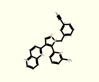 Cc1cccc(-c2c(-c3ccc4ncccc4n3)cnn2Cc2cccc(C#N)c2)n1